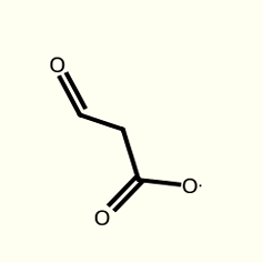 [O]C(=O)CC=O